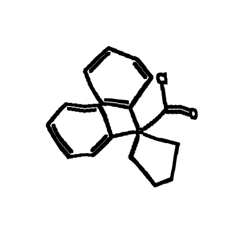 O=C(Cl)P1(c2ccccc2)(c2ccccc2)CCCC1